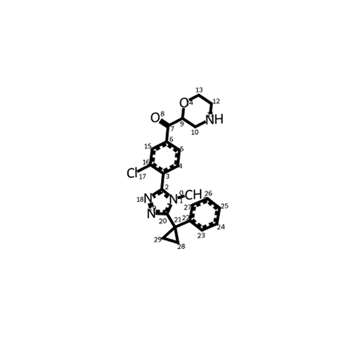 Cn1c(-c2ccc(C(=O)C3CNCCO3)cc2Cl)nnc1C1(c2ccccc2)CC1